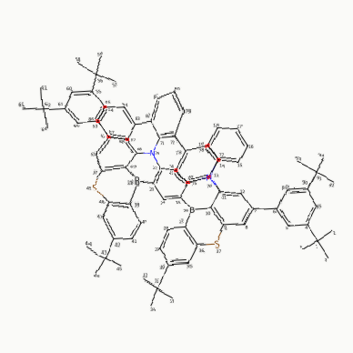 CC(C)(C)c1cc(-c2cc3c4c(c2)N(c2ccccc2)c2cc5c(cc2B4c2ccc(C(C)(C)C)cc2S3)B2c3ccc(C(C)(C)C)cc3Sc3cc(-c4cc(C(C)(C)C)cc(C(C)(C)C)c4)cc(c32)N5c2c(-c3ccccc3)cccc2-c2ccccc2)cc(C(C)(C)C)c1